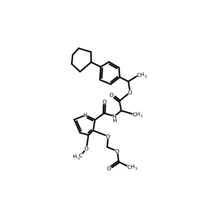 COc1ccnc(C(=O)NC(C)C(=O)OC(C)c2ccc(C3CCCCC3)cc2)c1OCOC(C)=O